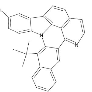 CC(C)(C)c1c2ccccc2cc2c3nccc4ccc5c6cc(I)ccc6n(c12)c5c43